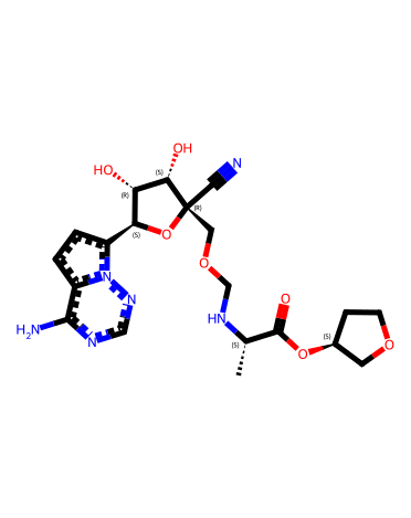 C[C@H](NCOC[C@@]1(C#N)O[C@@H](c2ccc3c(N)ncnn23)[C@H](O)[C@@H]1O)C(=O)O[C@H]1CCOC1